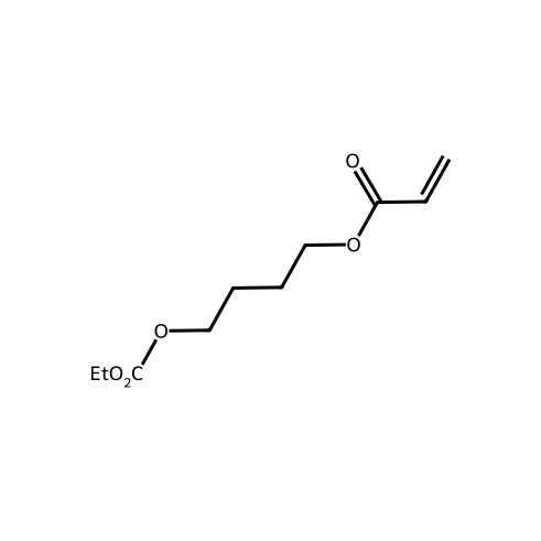 C=CC(=O)OCCCCOC(=O)OCC